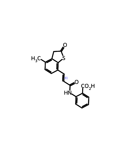 Cc1ccc(/C=C/C(=O)Nc2ccccc2C(=O)O)c2c1CC(=O)S2